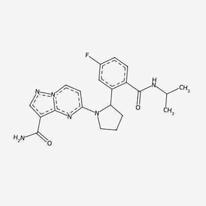 CC(C)NC(=O)c1ccc(F)cc1C1CCCN1c1ccn2ncc(C(N)=O)c2n1